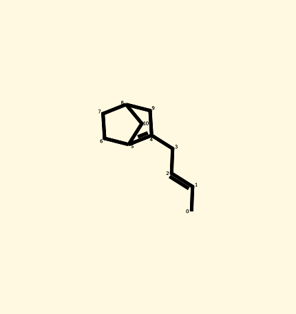 C/C=C/CC1=C2CCC(C1)C2